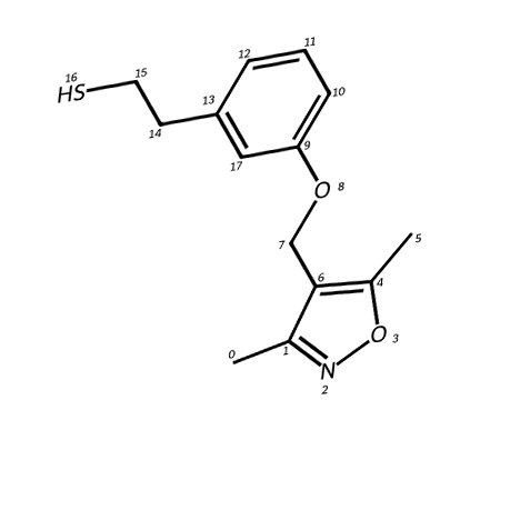 Cc1noc(C)c1COc1cccc(CCS)c1